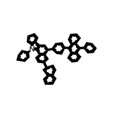 c1ccc(-c2c3ccccc3c(-c3ccc(-c4cc5c6ccccc6n(-c6ccccc6)c5c5ccc(-c6ccc7ccccc7c6)cc45)cc3)c3ccccc23)cc1